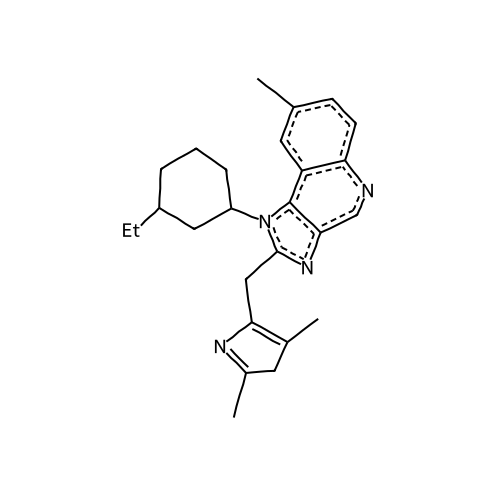 CCC1CCCC(n2c(CC3=C(C)CC(C)=N3)nc3cnc4ccc(C)cc4c32)C1